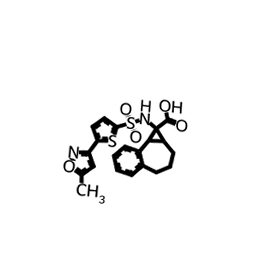 Cc1cc(-c2ccc(S(=O)(=O)NC3(C(=O)O)C4CCCc5ccccc5C43)s2)no1